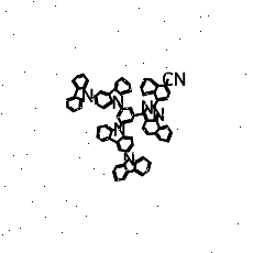 N#Cc1ccc(-c2nc(-c3cc(-n4c5ccccc5c5cc(-n6c7ccccc7c7ccccc76)ccc54)cc(-n4c5ccccc5c5cc(-n6c7ccccc7c7ccccc76)ccc54)c3)c3ccc4ccccc4c3n2)c2ccccc12